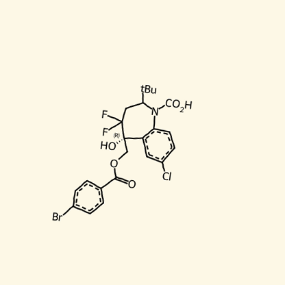 CC(C)(C)C1CC(F)(F)[C@](O)(COC(=O)c2ccc(Br)cc2)c2cc(Cl)ccc2N1C(=O)O